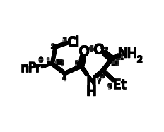 CCC[C@@H](CCl)CC(=O)NC(CC)C(N)=O